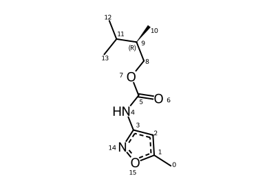 Cc1cc(NC(=O)OC[C@H](C)C(C)C)no1